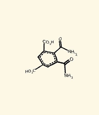 NC(=O)c1cc(C(=O)O)cc(C(=O)O)c1C(N)=O